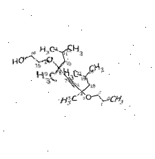 CCCOC(C)(C#CC(C)(CC(C)C)OCCO)CC(C)C